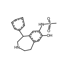 CS(=O)(=O)Nc1cc2c(cc1O)CCNCC2c1ccccc1